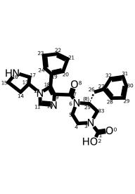 O=C(O)N1CCN(C(=O)c2ncn(C3CCNC3)c2-c2ccccc2)[C@H](Cc2ccccc2)C1